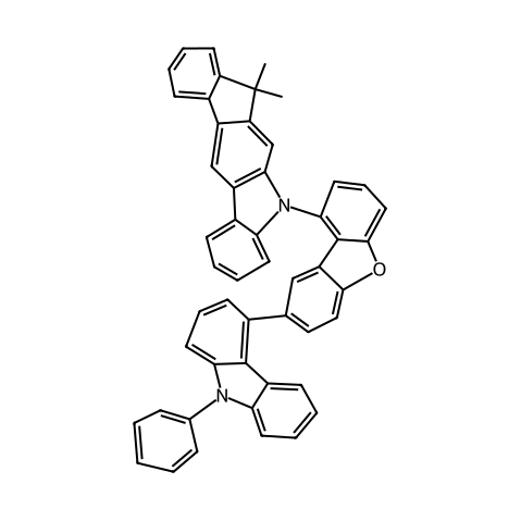 CC1(C)c2ccccc2-c2cc3c4ccccc4n(-c4cccc5oc6ccc(-c7cccc8c7c7ccccc7n8-c7ccccc7)cc6c45)c3cc21